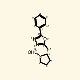 O=CN1CCC[C@H]1Cc1nnc(-c2ccccc2)o1